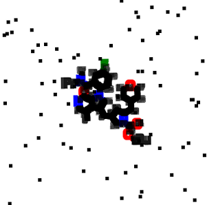 Cc1cncc2c1c(CC1CC(CC3CCOCC3)N(C(=O)OC(C)(C)C)C1)cn2-c1ccc(F)cc1C(=O)N(C)C(C)C